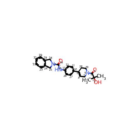 CC(C)(O)C(=O)N1CC=C(c2ccc(NC(=O)N3Cc4ccccc4C3)cc2)CC1